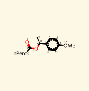 CCCCCC(=O)O[C@@H](C)c1ccc(OC)cc1